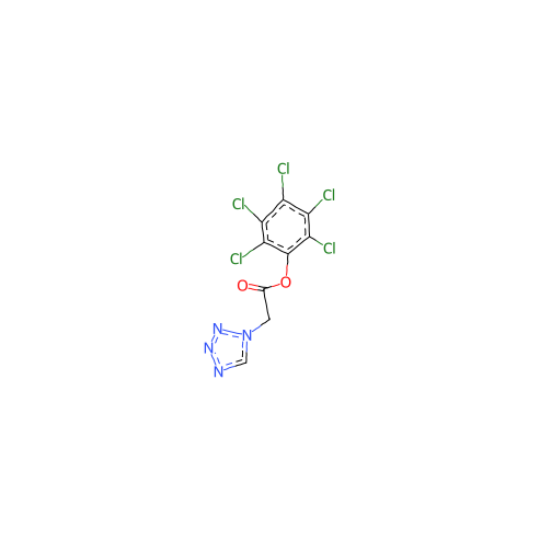 O=C(Cn1cnnn1)Oc1c(Cl)c(Cl)c(Cl)c(Cl)c1Cl